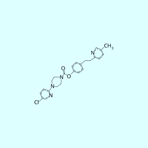 Cc1ccc(CCc2ccc(OC(=O)N3CCN(c4ccc(Cl)cn4)CC3)cc2)nc1